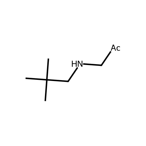 CC(=O)CNCC(C)(C)C